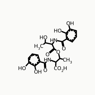 CC(O)C(NC(=O)c1cccc(O)c1O)C(=O)OC(C)C(NC(=O)c1cccc(O)c1O)C(=O)O